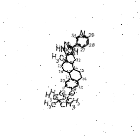 CC(C)(C)[Si](C)(C)Oc1ccc2c(c1)CCC1C2CC[C@@]2(C)C1CC1C(c3cccnc3)=NNC12O